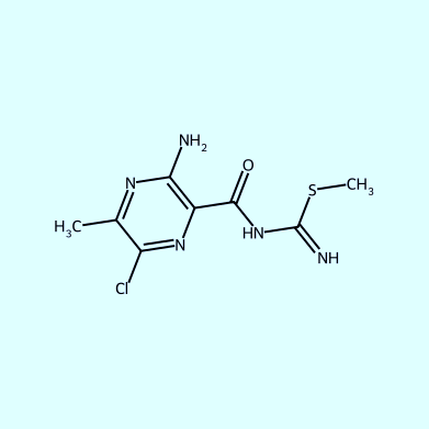 CSC(=N)NC(=O)c1nc(Cl)c(C)nc1N